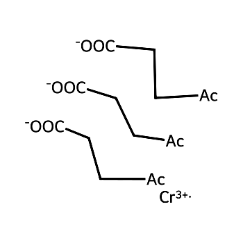 CC(=O)CCC(=O)[O-].CC(=O)CCC(=O)[O-].CC(=O)CCC(=O)[O-].[Cr+3]